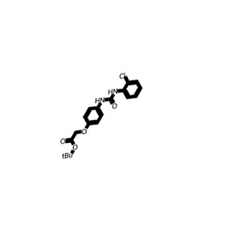 CC(C)(C)OC(=O)COc1ccc(NC(=O)Nc2ccccc2Cl)cc1